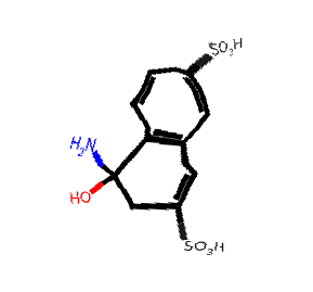 NC1(O)CC(S(=O)(=O)O)=Cc2cc(S(=O)(=O)O)ccc21